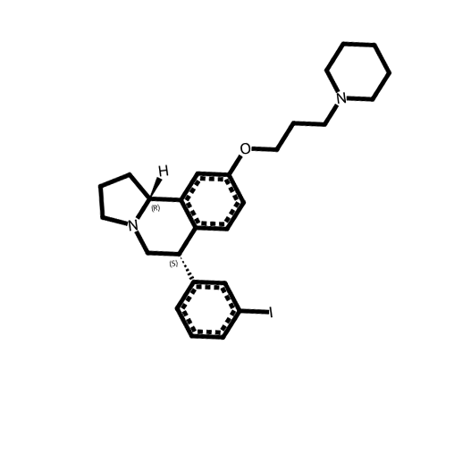 Ic1cccc([C@@H]2CN3CCC[C@@H]3c3cc(OCCCN4CCCCC4)ccc32)c1